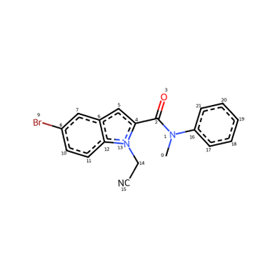 CN(C(=O)c1cc2cc(Br)ccc2n1CC#N)c1ccccc1